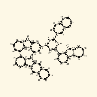 c1ccc2cc(-c3nc(-c4cc(-n5c6ccccc6c6cc7ccccc7cc65)c5c(c4)oc4ccccc45)nc(-c4cccc5c4sc4ccccc45)n3)ccc2c1